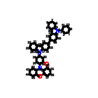 c1ccc(-n2c3ccccc3c3cc(-c4ccc5c(c4)c4ccccc4n5-c4ccc5c(c4)Oc4cccc6c4N5c4ccccc4O6)ccc32)cc1